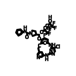 O=C(Nc1ccccc1)N1CCC(COc2ccc3cc2CCc2cncc(c2)Nc2ncc(Cl)c(n2)N3)C1.O=C(O)C(F)(F)F.O=C(O)C(F)(F)F